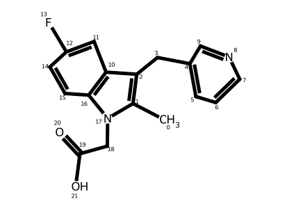 Cc1c(Cc2cccnc2)c2cc(F)ccc2n1CC(=O)O